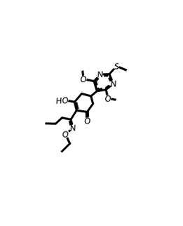 CCCC(=NOCC)C1=C(O)CC(c2c(OC)nc(SC)nc2OC)CC1=O